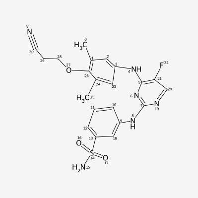 Cc1cc(Nc2nc(Nc3cccc(S(N)(=O)=O)c3)ncc2F)cc(C)c1OCCC#N